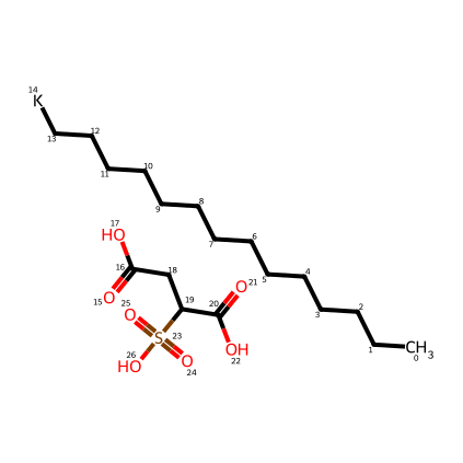 CCCCCCCCCCCCC[CH2][K].O=C(O)CC(C(=O)O)S(=O)(=O)O